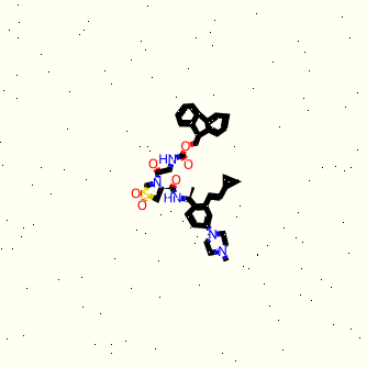 C[C@H](NC(=O)[C@@H]1CS(=O)(=O)CN1C(=O)CNC(=O)OCC1c2ccccc2-c2ccccc21)c1ccc(N2CCN(C)CC2)cc1/C=C/C1CC1